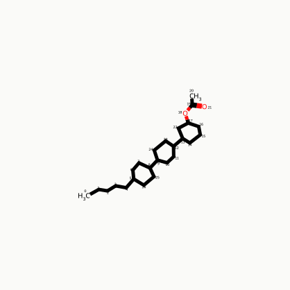 CCCCCC1CCC(C2CCC(C3CCCC(OC(C)=O)C3)CC2)CC1